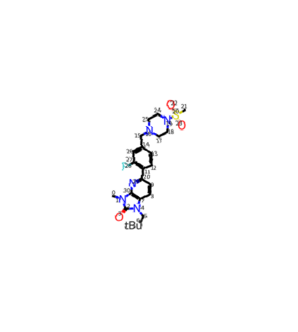 Cn1c(=O)n(CC(C)(C)C)c2ccc(-c3ccc(CN4CCN(S(C)(=O)=O)CC4)cc3F)nc21